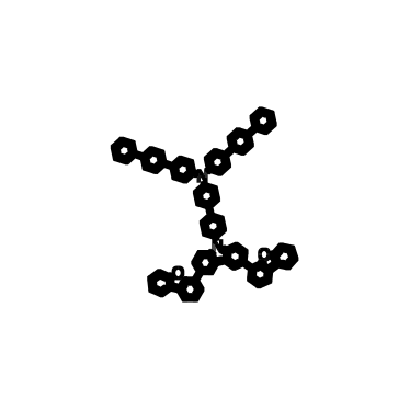 c1ccc(-c2ccc(-c3ccc(N(c4ccc(-c5ccc(-c6ccccc6)cc5)cc4)c4ccc(-c5ccc(-n6c7ccc(-c8cccc9c8oc8ccccc89)cc7c7cc(-c8cccc9c8oc8ccccc89)ccc76)cc5)cc4)cc3)cc2)cc1